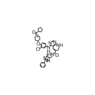 Cc1nn(-c2ccccc2)nc1CNC(=O)C1=Cc2c(ncnc2Nc2ccc(OC3CCN(C(=O)C4CCCC4)CC3)c(Cl)c2)NCC1